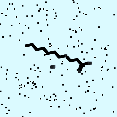 CCCCCCCOCCC(=O)O.Cl